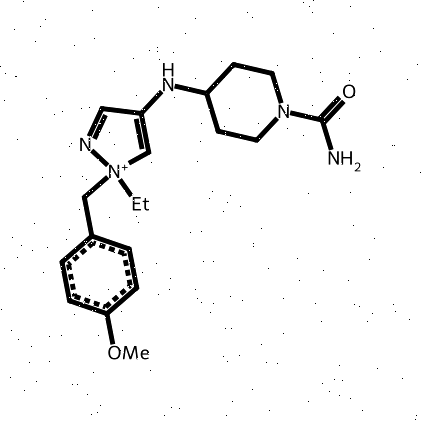 CC[N+]1(Cc2ccc(OC)cc2)C=C(NC2CCN(C(N)=O)CC2)C=N1